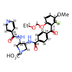 CCOCOc1ccc(OC)c(F)c1C(=O)c1ccc(C(=O)N[C@H]2CN(C(=O)O)C[C@H]2NC(=O)c2ccncc2)cc1